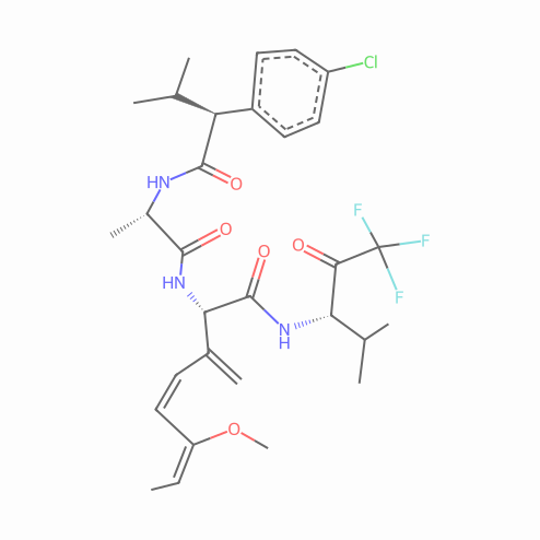 C=C(/C=C\C(=C/C)OC)[C@H](NC(=O)[C@H](C)NC(=O)[C@H](c1ccc(Cl)cc1)C(C)C)C(=O)N[C@H](C(=O)C(F)(F)F)C(C)C